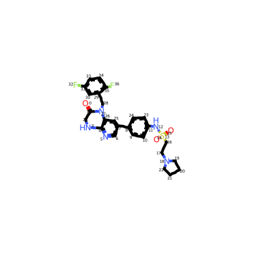 O=C1CNc2ncc(-c3ccc(NS(=O)(=O)CCN4CCCC4)cc3)cc2N1Cc1cc(F)ccc1F